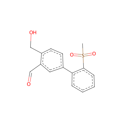 CS(=O)(=O)c1ccccc1-c1ccc(CO)c(C=O)c1